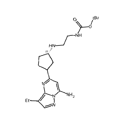 CCc1cnn2c(N)cc(C3CC[C@H](NCCNC(=O)OC(C)(C)C)C3)nc12